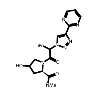 CNC(=O)[C@H]1CC(O)CN1C(=O)C(C(C)C)n1cc(-c2ncccn2)nn1